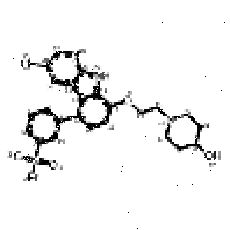 CCS(=O)(=O)c1cccc(-c2ccc(OCCN3CCC(O)CC3)c3[nH]c4ncc(Cl)cc4c23)c1